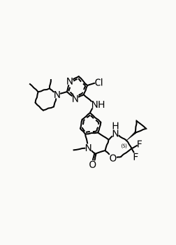 CC1CCCN(c2ncc(Cl)c(Nc3ccc4c(c3)C3N[C@@H](C5CC5)C(F)(F)COC3C(=O)N4C)n2)C1C